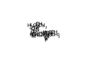 CCN(C(=O)c1cc(F)ccc1Oc1nncnc1N1CC2(CCN(C(=O)[C@@H]3C[C@@H](F)CN3C(=O)OC(C)(C)C)CC2)C1)C(C)C